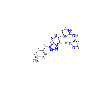 Cn1nccc1Nc1nccc(-c2cnc3c(c2)nnn3Cc2ccc(Cl)cc2)n1